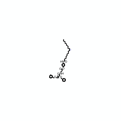 CCCCCCCC/C=C\CCCCCCCC(=O)Nc1ccc(OC(=O)CCNC(=O)C(OCc2ccccc2)C(C)(C)COCc2ccccc2)cc1